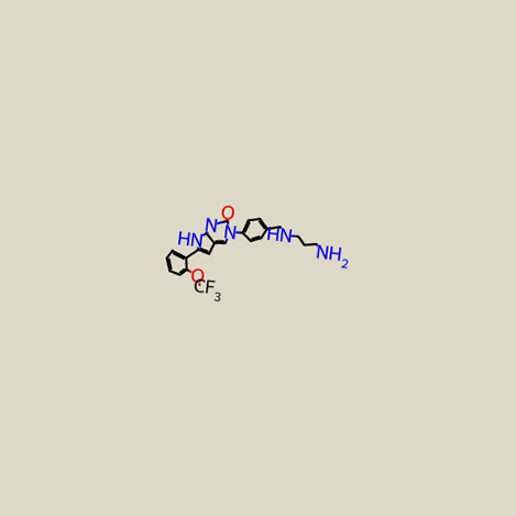 NCCCNCc1ccc(-n2cc3cc(-c4ccccc4OC(F)(F)F)[nH]c3nc2=O)cc1